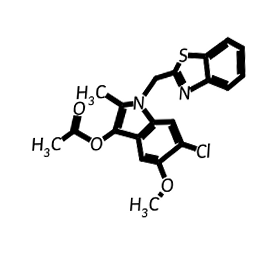 COc1cc2c(OC(C)=O)c(C)n(Cc3nc4ccccc4s3)c2cc1Cl